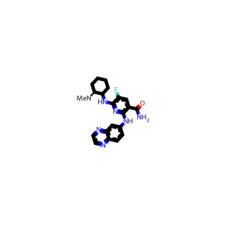 CN[C@H]1CCCCC1Nc1nc(Nc2ccc3nccnc3c2)c(C(N)=O)cc1F